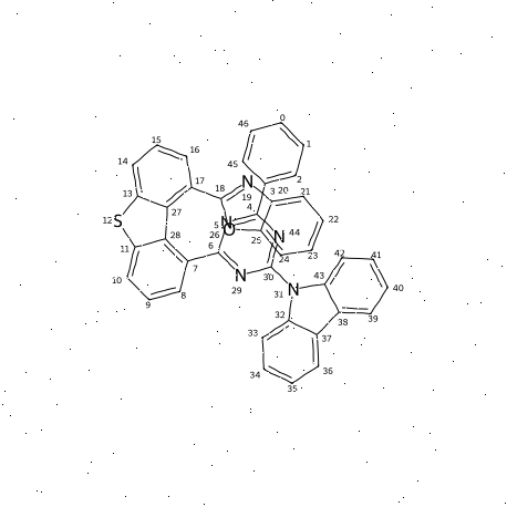 c1ccc(-c2nc(-c3cccc4sc5cccc(-c6nc7ccccc7o6)c5c34)nc(-n3c4ccccc4c4ccccc43)n2)cc1